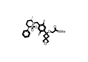 CNC(=O)COC1(c2cc(F)c(CN3[C@@H](C)CC[C@H](c4ccccc4)S3(=O)=O)cc2F)CC2(COC2)C1